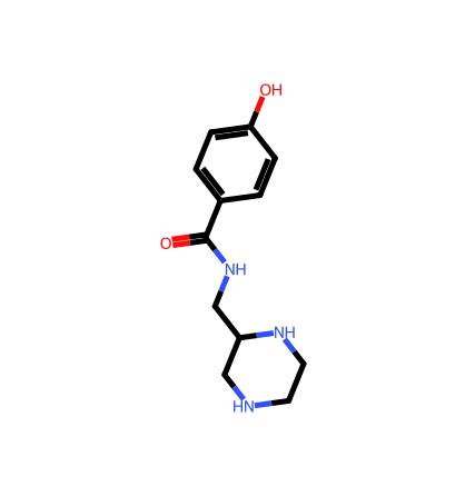 O=C(NCC1CNCCN1)c1ccc(O)cc1